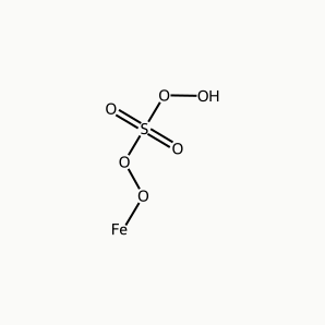 O=S(=O)(OO)O[O][Fe]